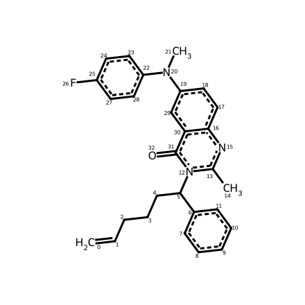 C=CCCCC(c1ccccc1)n1c(C)nc2ccc(N(C)c3ccc(F)cc3)cc2c1=O